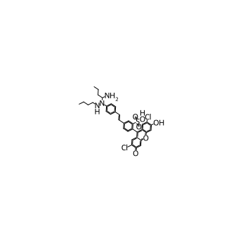 CCCCNN(c1ccc(/C=C/c2ccc(-c3c4cc(Cl)c(=O)cc-4oc4cc(O)c(Cl)cc34)c(S(=O)(=O)O)c2)cc1)C(N)CCC